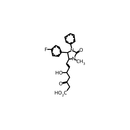 CN1C(=O)N(c2ccccc2)C(c2ccc(F)cc2)C1/C=C/C(O)CC(=O)CC(=O)O